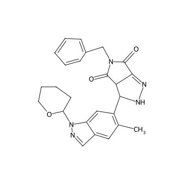 Cc1cc2cnn(C3CCCCO3)c2cc1C1NN=C2C(=O)N(Cc3ccccc3)C(=O)C21